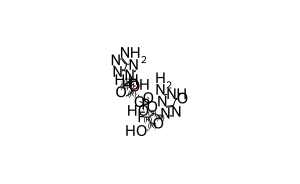 Nc1nc2c(ncn2[C@@H]2O[C@H](CO)[C@@H](F)[C@H]2OP(=O)(O)OC[C@@]23CO[C@@H]([C@H](n4cnc5c(N)ncnc54)O2)[C@@H]3O)c(=O)[nH]1